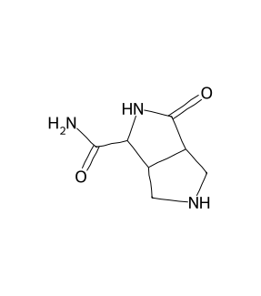 NC(=O)C1NC(=O)C2CNCC21